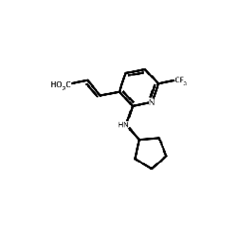 O=C(O)C=Cc1ccc(C(F)(F)F)nc1NC1CCCC1